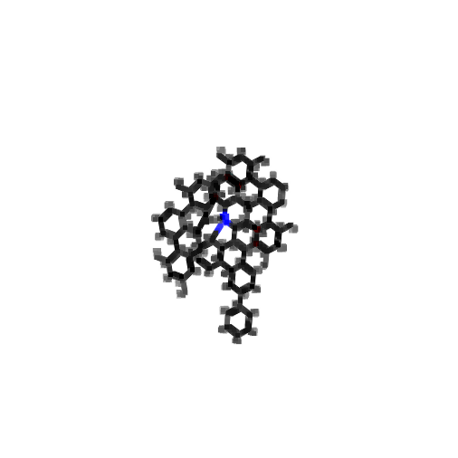 Cc1cc(C)c(-c2cccc(-c3c(C)cc(C)cc3C)c2B2c3cccc4c3-n3c5c2ccc2c6ccc(-c7ccccc7)cc6c6ccc(c3c6c25)B4c2c(-c3c(C)cc(C)cc3C)cccc2-c2c(C)cc(C)cc2C)c(C)c1